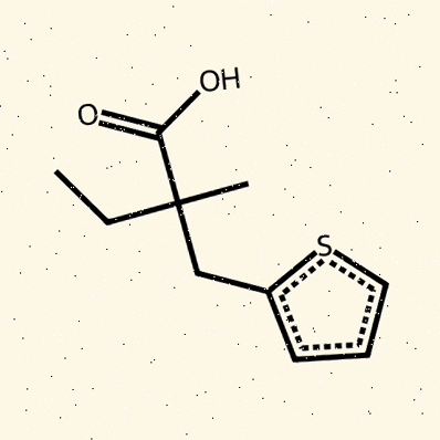 CCC(C)(Cc1cccs1)C(=O)O